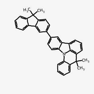 CC1(C)c2ccccc2-c2cc(-c3ccc4c(c3)c3cccc5c3n4-c3ccccc3C5(C)C)ccc21